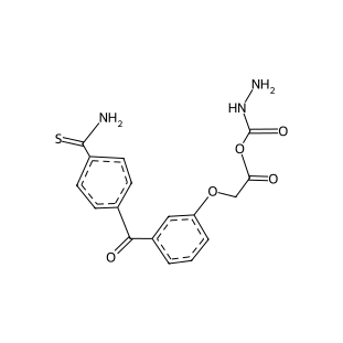 NNC(=O)OC(=O)COc1cccc(C(=O)c2ccc(C(N)=S)cc2)c1